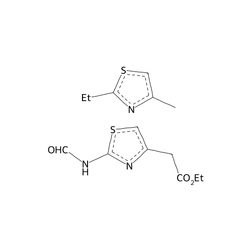 CCOC(=O)Cc1csc(NC=O)n1.CCc1nc(C)cs1